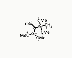 CCCCC([Si](OC)OC)[Si](C)(OC)OC